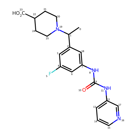 CC(c1cc(F)cc(NC(=O)Nc2cccnc2)c1)N1CCC(C(=O)O)CC1